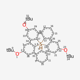 CC(C)(C)Oc1ccc([SH](c2ccccc2)(c2ccccc2)(c2ccc(OC(C)(C)C)cc2)c2ccc(OC(C)(C)C)cc2)cc1